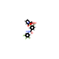 O=C(Nc1cc(F)c(F)c(F)c1)c1ccc(Cl)c(S(=O)(=O)N2C3CCC2C(O)(CO)C3)c1